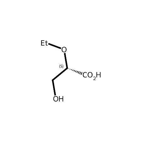 CCO[C@@H](CO)C(=O)O